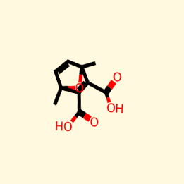 CC12C=CC(C)(O1)C(C(=O)O)=C2C(=O)O